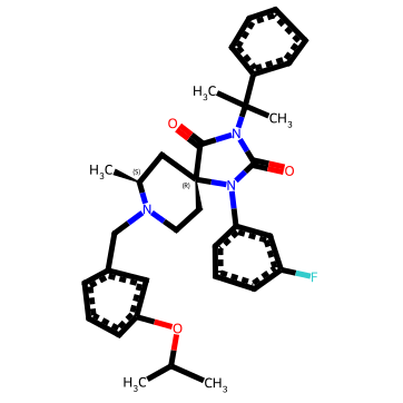 CC(C)Oc1cccc(CN2CC[C@@]3(C[C@@H]2C)C(=O)N(C(C)(C)c2ccccc2)C(=O)N3c2cccc(F)c2)c1